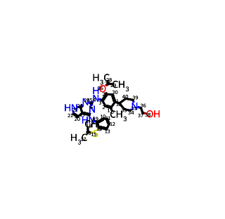 Cc1cc(Nc2nc(Nc3ccccc3SC(C)C)c3cc[nH]c3n2)c(OC(C)C)cc1C1CCN(CCO)CC1